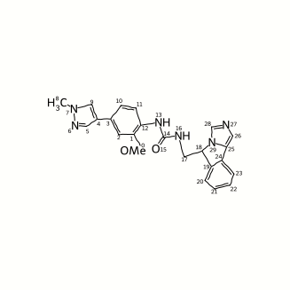 COc1cc(-c2cnn(C)c2)ccc1NC(=O)NCC1c2ccccc2-c2cncn21